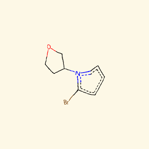 Brc1cccn1C1CCOC1